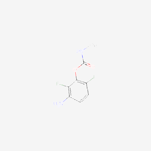 CC(C)(C)NC(=O)Oc1c(F)ccc(N)c1F